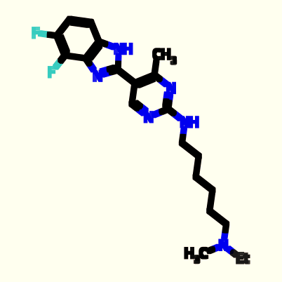 CCN(C)CCCCCCNc1ncc(-c2nc3c(F)c(F)ccc3[nH]2)c(C)n1